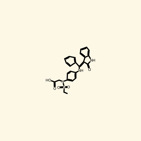 CCS(=O)(=O)N(CC(=O)O)c1ccc(N/C(=C2\C(=O)Nc3ccccc32)c2ccccc2)cc1